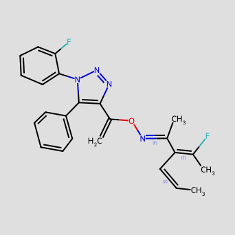 C=C(O/N=C(C)/C(/C=C\C)=C(/C)F)c1nnn(-c2ccccc2F)c1-c1ccccc1